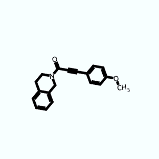 COc1ccc(C#CC(=O)N2CCc3ccccc3C2)cc1